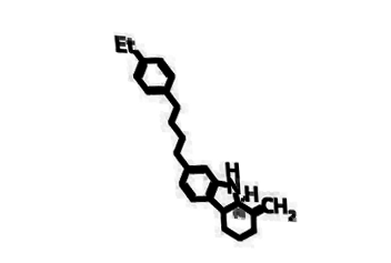 C=C1CCCC2c3ccc(CCCCc4ccc(CC)cc4)cc3N[C@@H]12